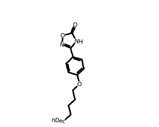 CCCCCCCCCCCCCCOc1ccc(-c2noc(=O)[nH]2)cc1